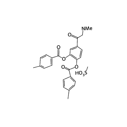 CNCC(=O)c1ccc(OC(=O)c2ccc(C)cc2)c(OC(=O)c2ccc(C)cc2)c1.CS(=O)(=O)O